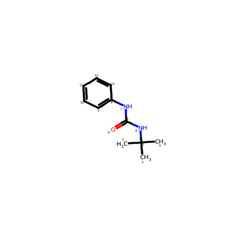 CC(C)(C)NC(=O)Nc1ccccc1